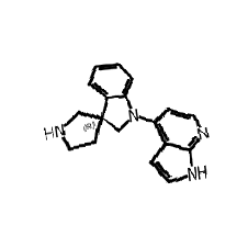 c1ccc2c(c1)N(c1ccnc3[nH]ccc13)C[C@]21CCNC1